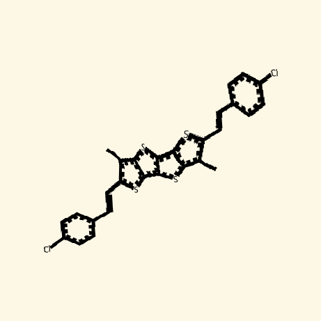 Cc1c(/C=C/c2ccc(Cl)cc2)sc2c1sc1c3sc(/C=C/c4ccc(Cl)cc4)c(C)c3sc21